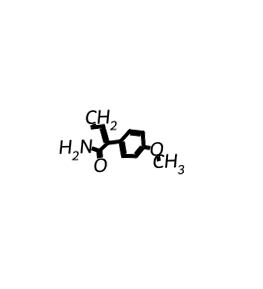 C=CC=C(C(N)=O)c1ccc(OC)cc1